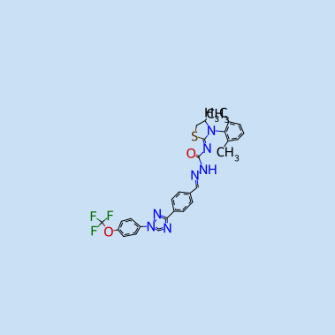 Cc1cccc(C)c1N1/C(=N/C(=O)N/N=C/c2ccc(-c3ncn(-c4ccc(OC(F)(F)F)cc4)n3)cc2)SCC1C